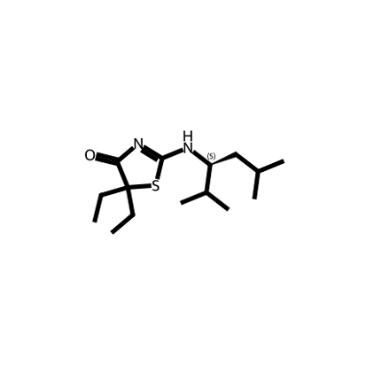 CCC1(CC)SC(N[C@@H](CC(C)C)C(C)C)=NC1=O